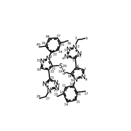 CCn1nnc(-c2cnn(-c3cc(C)ccc3C)c2SSc2c(-c3nnn(CC)n3)cnn2-c2cc(C)ccc2C)n1